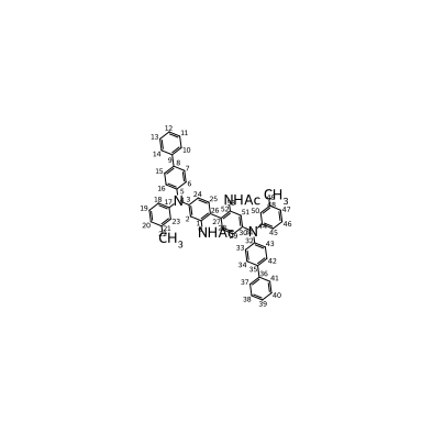 CC(=O)Nc1cc(N(c2ccc(-c3ccccc3)cc2)c2cccc(C)c2)ccc1-c1ccc(N(c2ccc(-c3ccccc3)cc2)c2cccc(C)c2)cc1NC(C)=O